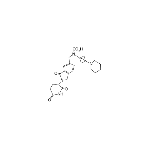 O=C1CCC(N2Cc3ccc(CN(C(=O)O)C45CC(N6CCCCC6)(C4)C5)cc3C2=O)C(=O)N1